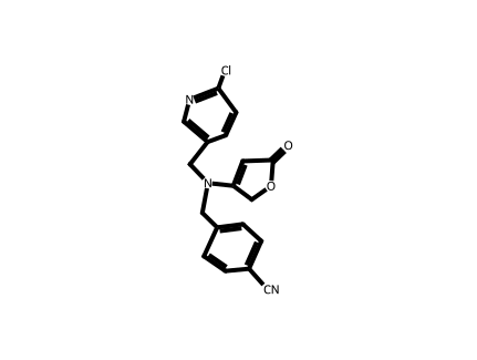 N#Cc1ccc(CN(Cc2ccc(Cl)nc2)C2=CC(=O)OC2)cc1